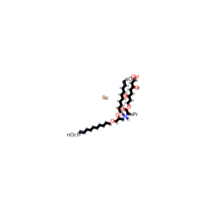 CCCCCCCC/C=C/CCCCCCCCOCC(C[N+](C)(C)C(CCC)C(=O)OCCC(=O)CCC(=O)CCO)OCCCCCCCC/C=C/CCCCCCCC.[Br-]